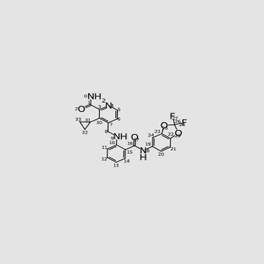 NC(=O)c1nccc(CNc2ccccc2C(=O)Nc2ccc3c(c2)OC(F)(F)O3)c1C1CC1